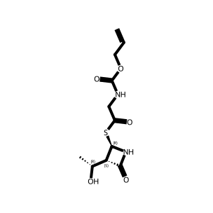 C=CCOC(=O)NCC(=O)S[C@H]1NC(=O)[C@@H]1[C@@H](C)O